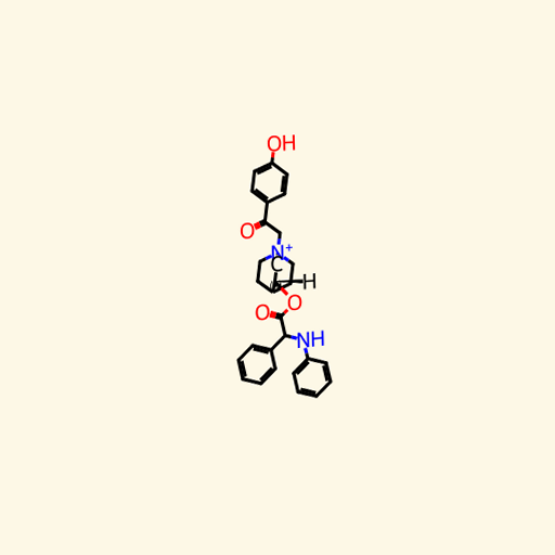 O=C(C[N+]12CCC(CC1)[C@@H](OC(=O)C(Nc1ccccc1)c1ccccc1)C2)c1ccc(O)cc1